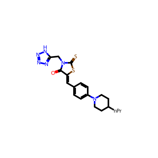 CCCC1CCN(c2ccc(/C=C3\SC(=S)N(Cc4nnn[nH]4)C3=O)cc2)CC1